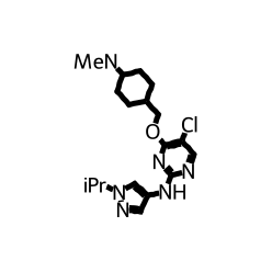 CNC1CCC(COc2nc(Nc3cnn(C(C)C)c3)ncc2Cl)CC1